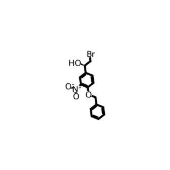 O=[N+]([O-])c1cc([C@@H](O)CBr)ccc1OCc1ccccc1